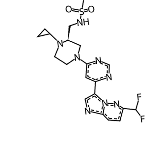 CS(=O)(=O)NC[C@H]1CN(c2cc(-c3cnc4ccc(C(F)F)nn34)ncn2)CCN1C1CC1